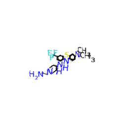 CCN(CC)c1ccc2c(c1)Sc1cc(C(F)(F)F)cc(NC3CCN(CCN)CC3)c1N2